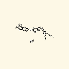 CCCCc1ccc(CCOc2ccc3nc(COc4ccc(CC5SC(=O)NC5=O)cc4)n(C)c3c2)cc1N.Cl.Cl